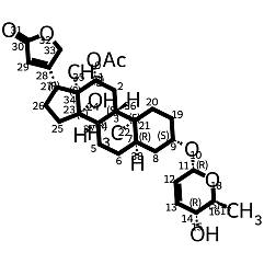 CC(=O)O[C@@H]1C[C@H]2[C@@H](CC[C@@H]3C[C@@H](O[C@H]4C=C[C@@H](O)[C@H](C)O4)CC[C@@]32C)[C@@]2(O)CC[C@H](C3=CC(=O)OC3)[C@@]12C